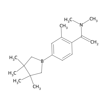 C=C(c1ccc(B2CC(C)(C)C(C)(C)C2)cc1C)N(C)C